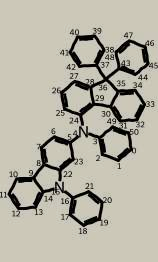 c1ccc(N(c2ccc3c4ccccc4n(-c4ccccc4)c3c2)c2cccc3c2-c2ccccc2C3(c2ccccc2)c2ccccc2)cc1